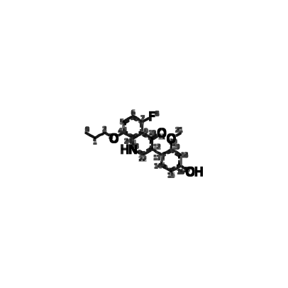 CCCOc1ccc(F)c2c(=O)c(-c3ccc(O)cc3OC)c[nH]c12